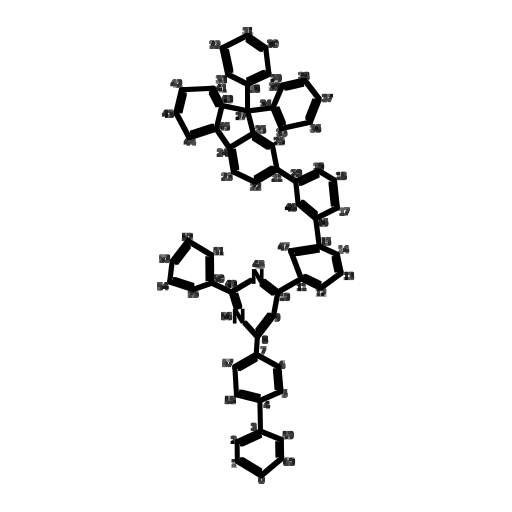 c1ccc(-c2ccc(-c3cc(-c4cccc(-c5cccc(-c6ccc7c(c6)C(c6ccccc6)(c6ccccc6)c6ccccc6-7)c5)c4)nc(-c4ccccc4)n3)cc2)cc1